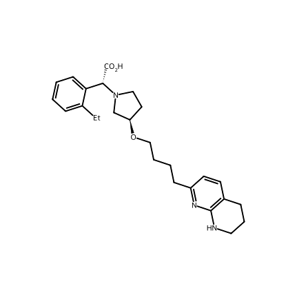 CCc1ccccc1[C@H](C(=O)O)N1CC[C@@H](OCCCCc2ccc3c(n2)NCCC3)C1